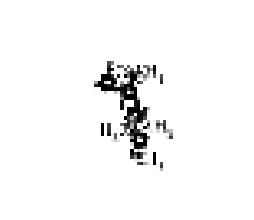 COC(=O)c1cc(Cc2ccnc(N(C)c3ccc(OC)cc3OC)c2F)c(F)c(F)c1Nc1ccc(I)cc1F